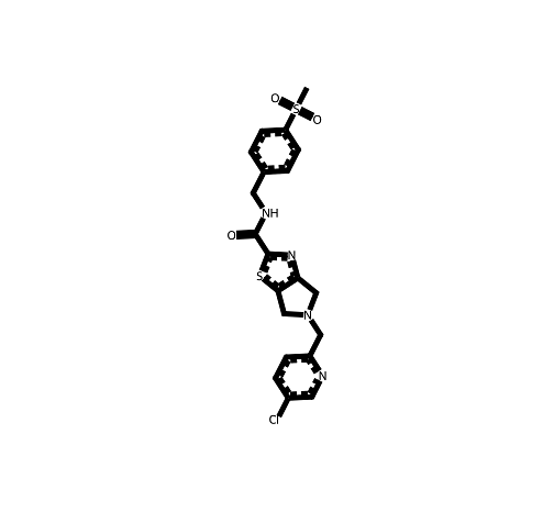 CS(=O)(=O)c1ccc(CNC(=O)c2nc3c(s2)CN(Cc2ccc(Cl)cn2)C3)cc1